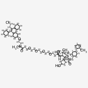 Cc1ncsc1-c1ccc(CNC(=O)[C@@H]2C[C@@H](O)CN2C(=O)C(NC(=O)CCOCCOCCOCCOCCC(=O)N(C)CCOc2ccc(/C(=C(/CCCl)c3ccccc3)c3ccccc3)cc2)C(C)(C)C)cc1